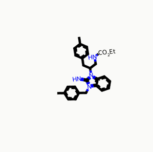 CCOC(=O)NCC(Cc1ccc(C)cc1)n1c(=N)n(Cc2ccc(C)cc2)c2ccccc21